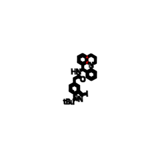 CC(C)(C)n1nc(I)c2cc(CC(=O)NC(c3ccccc3)c3ccccc3N3CCCCC3)ccc21